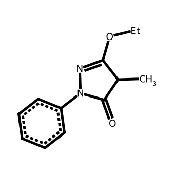 CCOC1=NN(c2ccccc2)C(=O)C1C